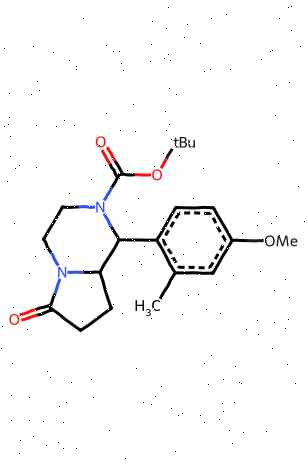 COc1ccc(C2C3CCC(=O)N3CCN2C(=O)OC(C)(C)C)c(C)c1